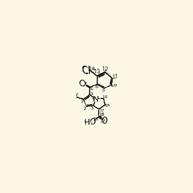 Cc1cc2n(c1C(=O)c1ccccc1Cl)CCC2C(=O)O